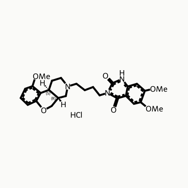 COc1cc2[nH]c(=O)n(CCCCN3CC[C@@H]4c5c(OC)cccc5OC[C@H]4C3)c(=O)c2cc1OC.Cl